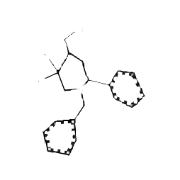 CCC1CC(c2ccccc2)N(Cc2ccccc2)CC1(F)F